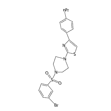 CCCc1ccc(-c2csc(N3CCN(S(=O)(=O)c4cccc(Br)c4)CC3)n2)cc1